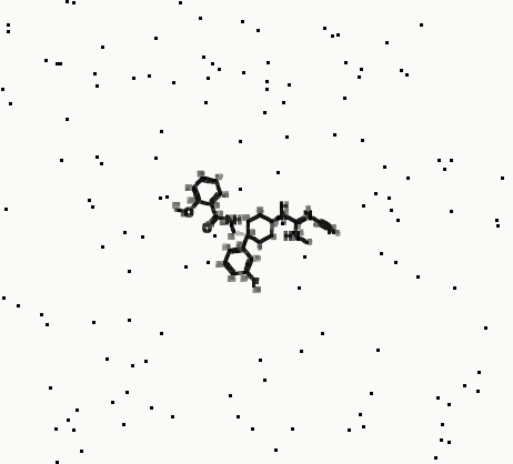 CN/C(=N\C#N)N[C@H]1CC[C@@](CNC(=O)c2ccccc2OC)(c2cccc(F)c2)CC1